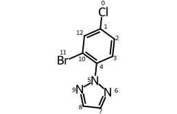 Clc1ccc(-n2nccn2)c(Br)c1